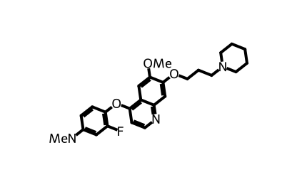 CNc1ccc(Oc2ccnc3cc(OCCCN4CCCCC4)c(OC)cc23)c(F)c1